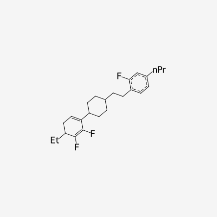 CCCc1ccc(CCC2CCC(C3=CCC(CC)C(F)=C3F)CC2)c(F)c1